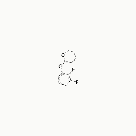 Fc1cccc(OC2CCCCO2)c1F